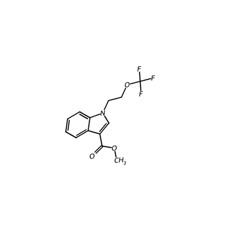 COC(=O)c1cn(CCOC(F)(F)F)c2ccccc12